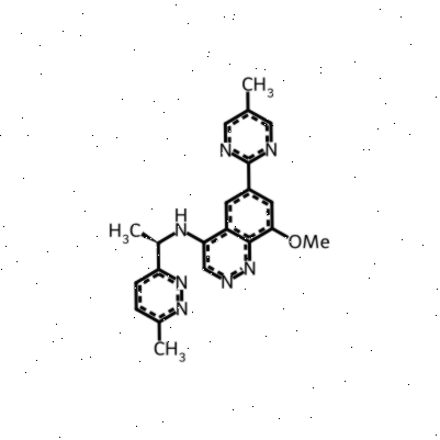 COc1cc(-c2ncc(C)cn2)cc2c(N[C@H](C)c3ccc(C)nn3)cnnc12